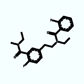 CCN(C)C(=O)c1cc(CCN(CC)C(=O)c2ccccc2F)ccc1F